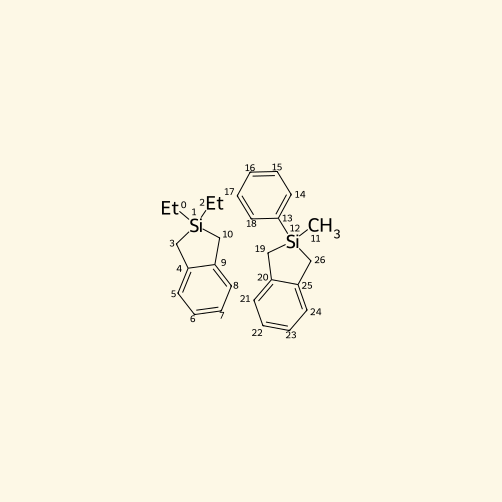 CC[Si]1(CC)Cc2ccccc2C1.C[Si]1(c2ccccc2)Cc2ccccc2C1